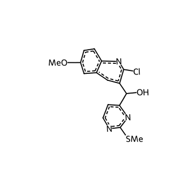 COc1ccc2nc(Cl)c(C(O)c3ccnc(SC)n3)cc2c1